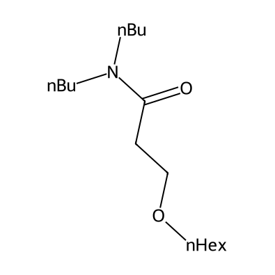 CCCCCCOCCC(=O)N(CCCC)CCCC